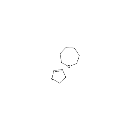 C1=CSCC1.C1CCCOCC1